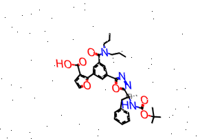 CCCN(CCC)C(=O)c1cc(-c2nnc([C@](C)(Cc3ccccc3)NC(=O)OC(C)(C)C)o2)cc(-c2occc2C(=O)O)c1